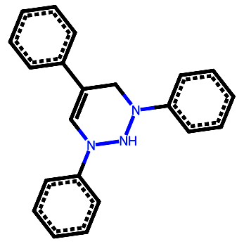 C1=C(c2ccccc2)CN(c2ccccc2)NN1c1ccccc1